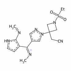 C=Nc1[nH]ccc1/C(=N\C)c1cnn(C2(CC#N)CN(S(=O)(=O)CC)C2)c1